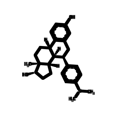 CN(C)c1ccc([C@@H]2Cc3cc(O)ccc3[C@H]3CC[C@]4(C)[C@@H](O)CC[C@H]4[C@@H]32)cc1